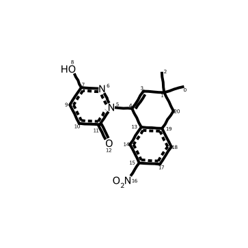 CC1(C)C=C(n2nc(O)ccc2=O)c2cc([N+](=O)[O-])ccc2C1